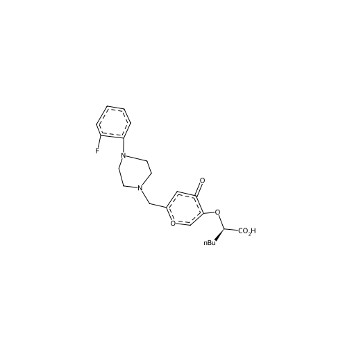 CCCC[C@@H](Oc1coc(CN2CCN(c3ccccc3F)CC2)cc1=O)C(=O)O